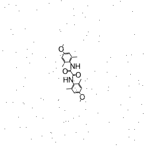 COc1cc(C)c(NC(=O)C(=O)Nc2c(C)cc(OC)cc2C)c(C)c1